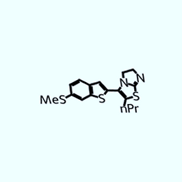 CCCC1=C(c2cc3ccc(SC)cc3s2)N2CCN=C2S1